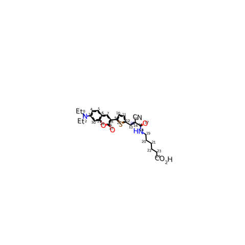 CCN(CC)c1ccc2cc(-c3ccc(/C=C(\C#N)C(=O)NCCCCCC(=O)O)s3)c(=O)oc2c1